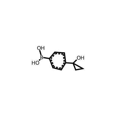 OB(O)c1ccc(C2(O)CC2)cc1